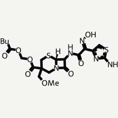 CCCCC(=O)OCOC(=O)C1(COC)CS[C@@H]2C(NC(=O)C(=NO)c3csc(N)n3)C(=O)N2C1